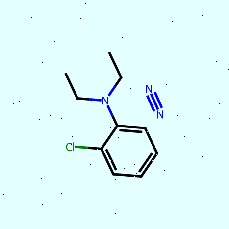 CCN(CC)c1ccccc1Cl.N#N